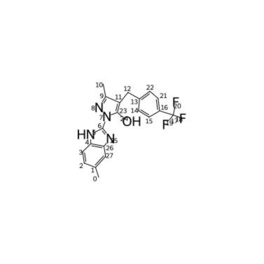 Cc1ccc2[nH]c(-n3nc(C)c(Cc4ccc(C(F)(F)F)cc4)c3O)nc2c1